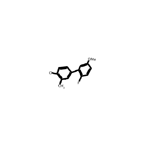 COc1ccc(F)c(-c2ccc(Cl)c(C)c2)c1